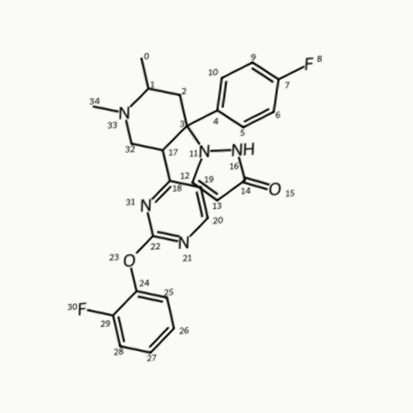 CC1CC(c2ccc(F)cc2)(n2ccc(=O)[nH]2)C(c2ccnc(Oc3ccccc3F)n2)CN1C